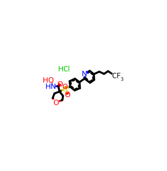 Cl.O=C(NO)C1(S(=O)(=O)c2ccc(-c3ccc(CCCC(F)(F)F)cn3)cc2)CCOCC1